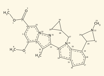 COC(=O)c1cc(OC)c2c(C)c(-c3cc4cccc(C5CN(C)C5)c4n3CC3CC3)nn2c1